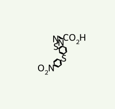 O=C(O)c1cnc2sc3cc(Sc4ccc([N+](=O)[O-])cc4)ccc3n12